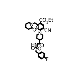 CCOC(=O)c1cc(C#N)c(N2CCC(C(=O)NS(=O)(=O)Cc3ccc(F)cc3)CC2)nc1CN1CCCCC1=O